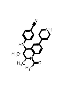 CC(=O)N1c2ccc(C3=CCNCC3)cc2C(Nc2ccc(C#N)cc2)[C@@H](C)[C@@H]1C